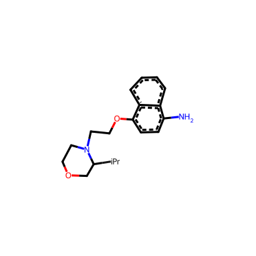 CC(C)C1COCCN1CCOc1ccc(N)c2ccccc12